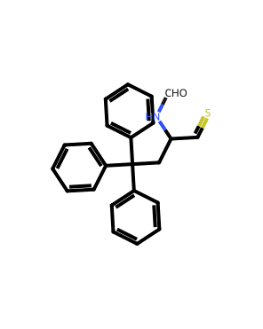 O=CNC(C=S)CC(c1ccccc1)(c1ccccc1)c1ccccc1